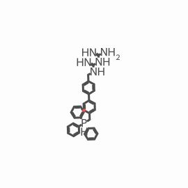 N=C(N)NC(=N)NCc1ccc(-c2ccc(C[PH](c3ccccc3)(c3ccccc3)c3ccccc3)cc2)cc1